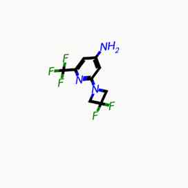 Nc1cc(N2CC(F)(F)C2)nc(C(F)(F)F)c1